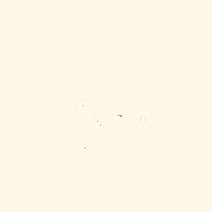 O=C(O)C[C@@H](C(=O)O)N1C(=O)CCC1=O